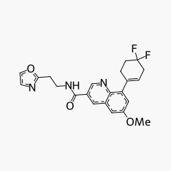 COc1cc(C2=CCC(F)(F)CC2)c2ncc(C(=O)NCCc3ncco3)cc2c1